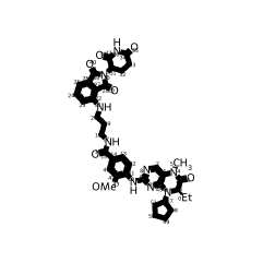 CC[C@@H]1C(=O)N(C)c2cnc(Nc3ccc(C(=O)NCCCNc4cccc5c4C(=O)N(C4CCC(=O)NC4=O)C5=O)cc3OC)nc2N1C1CCCC1